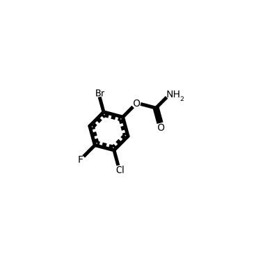 NC(=O)Oc1cc(Cl)c(F)cc1Br